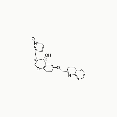 [O-][n+]1cccc(C[C@H]2COc3ccc(OCc4ccc5ccccc5n4)cc3[C@H]2O)c1